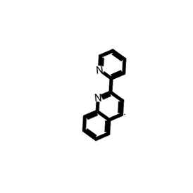 [c]1cc(-c2ccccn2)nc2ccccc12